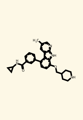 Cc1cnc2[nH]c3c(OCC4CCNCC4)ccc(-c4cccc(C(=O)NC5CC5)c4)c3c2c1